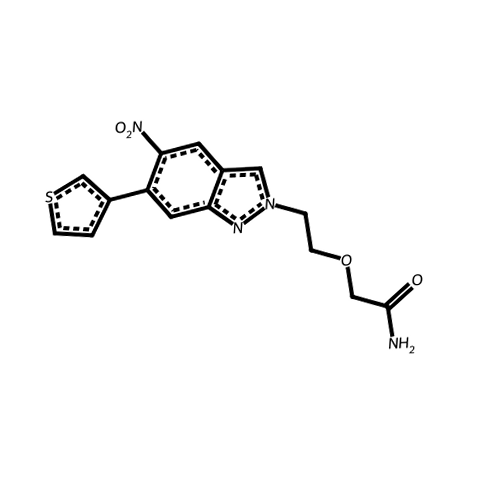 NC(=O)COCCn1cc2cc([N+](=O)[O-])c(-c3ccsc3)cc2n1